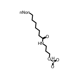 CCCCCCCCCCCCCCCC(=O)NCCCO[SH](=O)=O